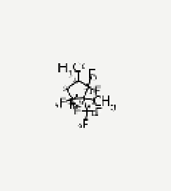 CC1CC(F)(F)C(C)(C(F)(F)F)C1(F)F